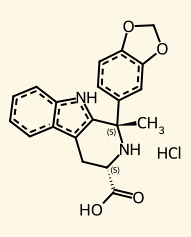 C[C@@]1(c2ccc3c(c2)OCO3)N[C@H](C(=O)O)Cc2c1[nH]c1ccccc21.Cl